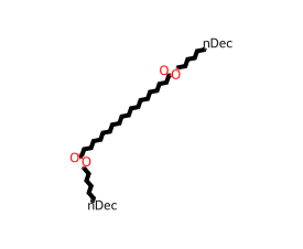 CCCCCCCCCCCCCCCCOC(=O)CCCCCCCCCCCCCCCCCCC(=O)OCCCCCCCCCCCCCCCC